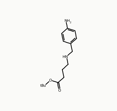 CC(C)(C)OC(=O)CCCNCc1ccc(N)cc1